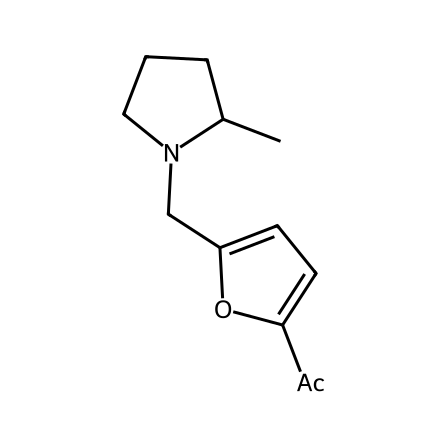 CC(=O)c1ccc(CN2CCCC2C)o1